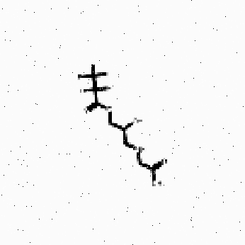 O=C(O)CNCC(O)COC(=O)C(F)(F)C(F)(F)F